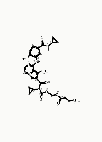 Cc1ccc(C(=O)NC2CC2)cc1Nc1ncnn2cc(C(=O)N(C(=O)OCOC(=O)CCC=O)C3CC3)c(C)c12